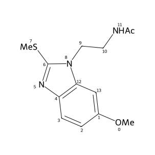 COc1ccc2nc(SC)n(CCNC(C)=O)c2c1